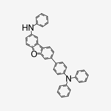 c1ccc(Nc2ccc3oc4cc(-c5ccc(N(c6ccccc6)c6ccccc6)cc5)ccc4c3c2)cc1